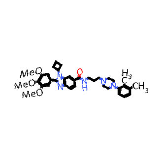 COc1cc(-c2nc3ccc(C(=O)NCCCN4CCN(c5cccc(C)c5C)CC4)cc3n2C2CCC2)cc(OC)c1OC